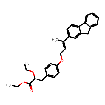 CCOC(=O)[C@H](Cc1ccc(OCC=C(C)c2ccc3c(c2)Cc2ccccc2-3)cc1)OCC